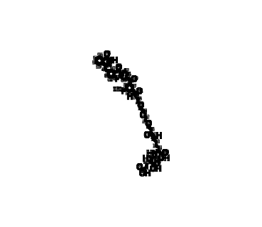 O=C(O)CC[C@H](NC(=O)N[C@@H](CCCCNC(=O)CCOCCOCCOCCNC(=O)c1cc([131I])cc(C(=O)N2CCN(C(=O)c3cc(Cc4n[nH]c(=O)c5ccccc45)ccc3F)CC2)c1)C(=O)O)C(=O)O